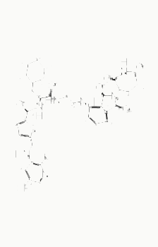 Cc1ncc(Cl)cc1NCc1ccc(C(=O)N[C@@H](CC2CCCCC2)C(=O)NCCNc2cccc3c2C(=O)N(C2CCC(=O)NC2=O)C3=O)s1